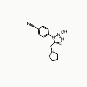 Cl.N#Cc1ccc(-n2nnnc2CN2CCCC2)cc1